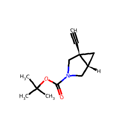 C#C[C@@]12C[C@@H]1CN(C(=O)OC(C)(C)C)C2